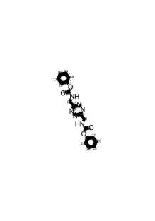 O=C(NCc1nnc(CNC(=O)Oc2ccccc2)nn1)Oc1ccccc1